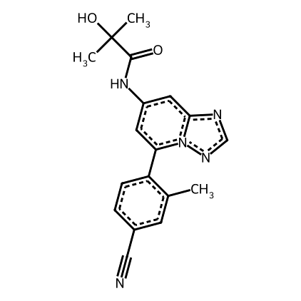 Cc1cc(C#N)ccc1-c1cc(NC(=O)C(C)(C)O)cc2ncnn12